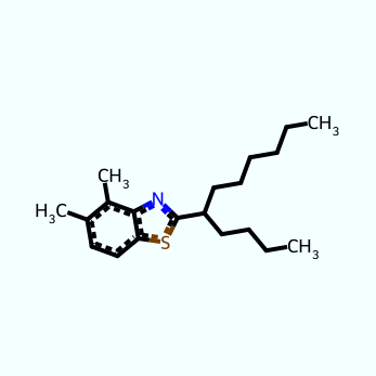 CCCCCCC(CCCC)c1nc2c(C)c(C)ccc2s1